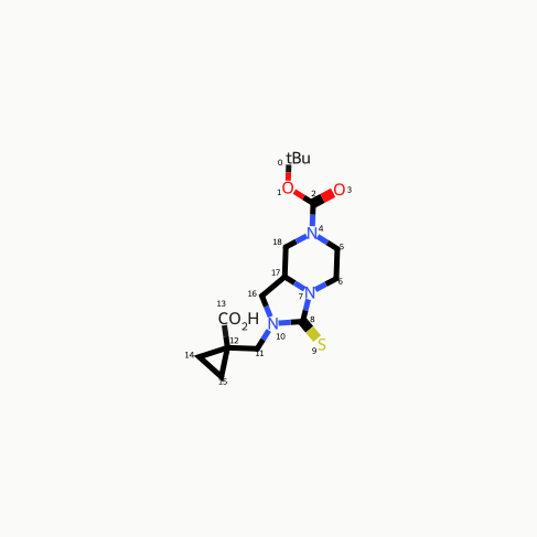 CC(C)(C)OC(=O)N1CCN2C(=S)N(CC3(C(=O)O)CC3)CC2C1